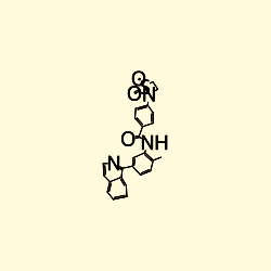 Cc1ccc(-c2nccc3ccccc23)cc1NC(=O)c1ccc(N2CCS2(=O)=O)cc1